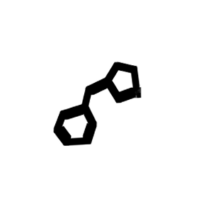 C1=NCCC1=Cc1ccccc1